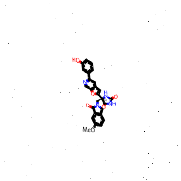 COc1ccc2c(c1)C(=O)N(C[C@@]1(c3cc4cc(-c5cccc(O)c5)ncc4o3)NC(=O)NC1=O)C2